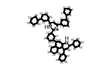 C1=C(c2cccc(-c3ccccc3)c2)N=C(c2cccc(-c3cc4c(c5c3=CCCC=5)C(c3ccccc3)=CC(c3ccccc3)N4)c2)NC1c1cccc(-c2ccccc2)c1